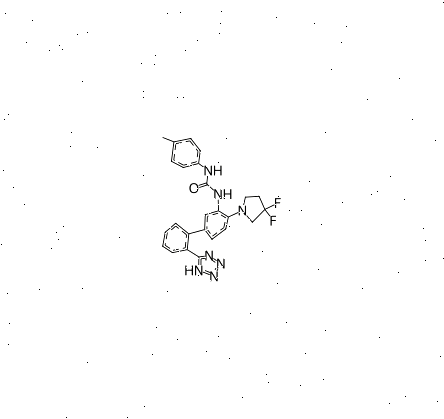 Cc1ccc(NC(=O)Nc2cc(-c3ccccc3-c3nnn[nH]3)ccc2N2CCC(F)(F)C2)cc1